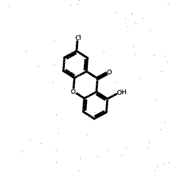 O=c1c2cc(Cl)ccc2oc2cccc(O)c12